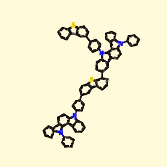 c1ccc(-n2c3ccccc3c3c2ccc2c4cc(-c5cccc6c5sc5ccc(-c7ccc(-n8c9ccccc9c9c8ccc8c%10ccccc%10n(-c%10ccccc%10)c89)cc7)cc56)ccc4n(-c4ccc(-c5ccc6sc7ccccc7c6c5)cc4)c23)cc1